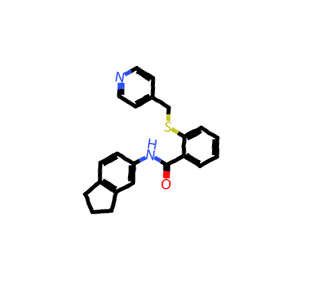 O=C(Nc1ccc2c(c1)CCC2)c1ccccc1SCc1ccncc1